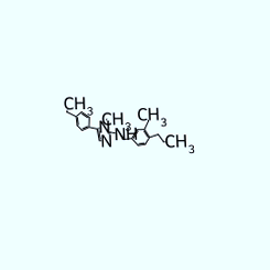 CCCc1ccc(CNc2ncc(-c3ccc(CC)cc3)n2C)cc1CC